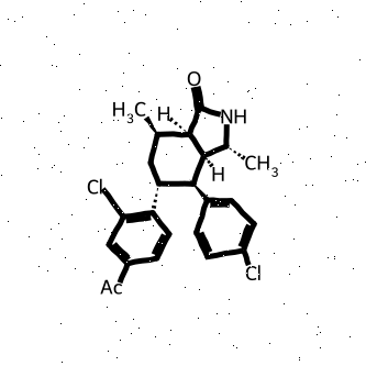 CC(=O)c1ccc([C@@H]2C[C@@H](C)[C@H]3C(=O)N[C@H](C)[C@H]3[C@H]2c2ccc(Cl)cc2)c(Cl)c1